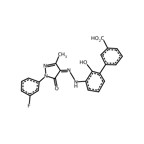 CC1=NN(c2cccc(F)c2)C(=O)/C1=N\Nc1cccc(-c2cccc(C(=O)O)c2)c1O